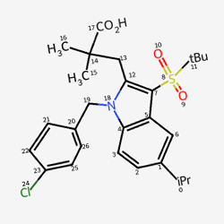 CC(C)c1ccc2c(c1)c(S(=O)(=O)C(C)(C)C)c(CC(C)(C)C(=O)O)n2Cc1ccc(Cl)cc1